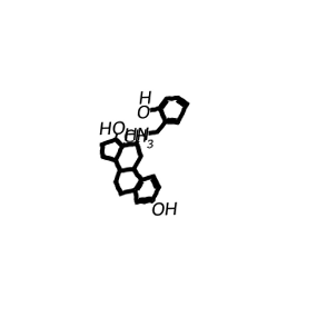 C[C@]12C(CC[C@@H]1O)C1CCc3cc(O)ccc3C1C[C@@H]2NCc1ccccc1O